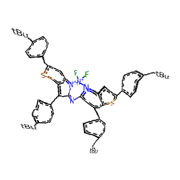 CC(C)(C)c1ccc(C2=c3sc(-c4ccc(C(C)(C)C)cc4)cc3=[N+]3C2=Nc2c(-c4ccc(C(C)(C)C)cc4)c4sc(-c5ccc(C(C)(C)C)cc5)cc4n2[N+]3(F)F)cc1